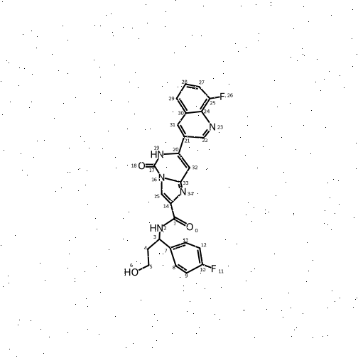 O=C(NC(CCO)c1ccc(F)cc1)c1cn2c(=O)[nH]c(-c3cnc4c(F)cccc4c3)cc2n1